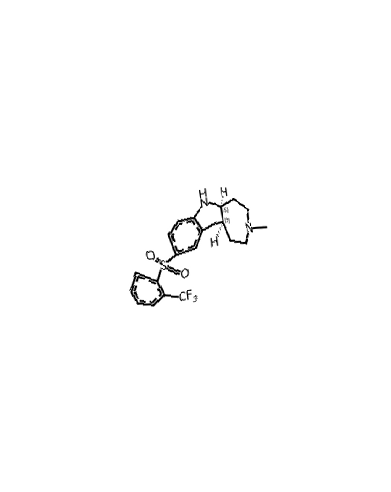 CN1CC[C@@H]2Nc3ccc(S(=O)(=O)c4ccccc4C(F)(F)F)cc3[C@@H]2CC1